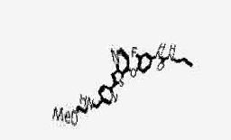 C=CCNC(=O)Nc1ccc(Oc2ccnc3cc(-c4ccc(CNCCOC)cn4)sc23)c(F)c1